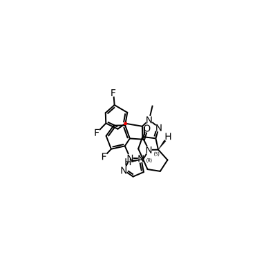 Cn1nc2c(c1-c1cc(F)cc(F)c1)C[C@H]1CCC[C@@H]2N1C(=O)c1cccc(F)c1-n1nccn1